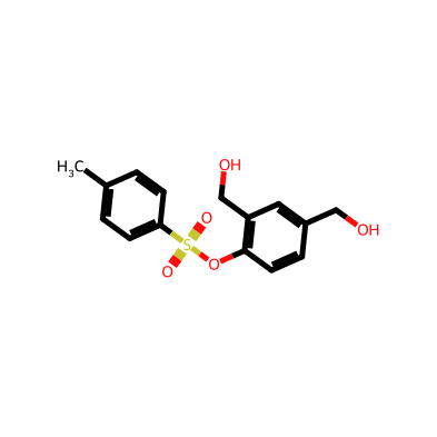 Cc1ccc(S(=O)(=O)Oc2ccc(CO)cc2CO)cc1